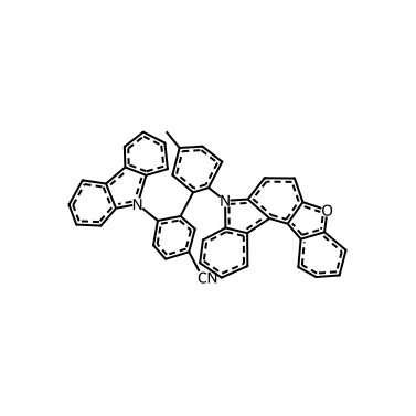 Cc1ccc(-n2c3ccccc3c3c4c(ccc32)oc2ccccc24)c(-c2cc(C#N)ccc2-n2c3ccccc3c3ccccc32)c1